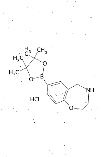 CC1(C)OB(c2ccc3c(c2)CNCCO3)OC1(C)C.Cl